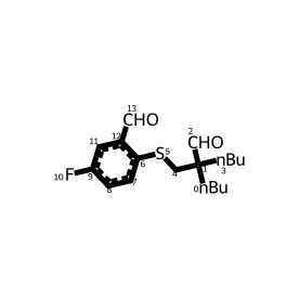 CCCCC(C=O)(CCCC)CSc1ccc(F)cc1C=O